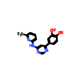 Oc1ccc(-c2cc(Nc3cccc(C(F)(F)F)n3)ncn2)cc1O